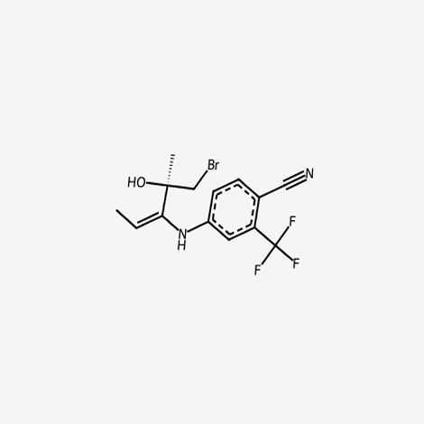 C/C=C(/Nc1ccc(C#N)c(C(F)(F)F)c1)[C@@](C)(O)CBr